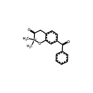 C[N+]1(C)Oc2cc(C(=O)c3ccccc3)ccc2CC1=O